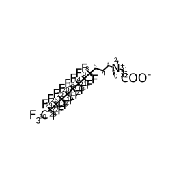 C[N+](C)(CCCC(F)(F)C(F)(F)C(F)(F)C(F)(F)C(F)(F)C(F)(F)C(F)(F)C(F)(F)C(F)(F)F)CC(=O)[O-]